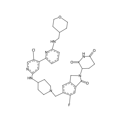 O=C1CCC(N2Cc3cc(CN4CCC(Nc5cc(-c6cccc(NCC7CCOCC7)n6)c(Cl)cn5)CC4)c(F)cc3C2=O)C(=O)N1